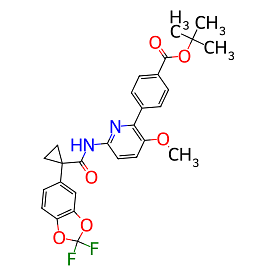 COc1ccc(NC(=O)C2(c3ccc4c(c3)OC(F)(F)O4)CC2)nc1-c1ccc(C(=O)OC(C)(C)C)cc1